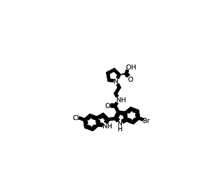 O=C(NCCN1CCC[C@H]1C(=O)O)c1c(-c2cc3cc(Cl)ccc3[nH]2)[nH]c2cc(Br)ccc12